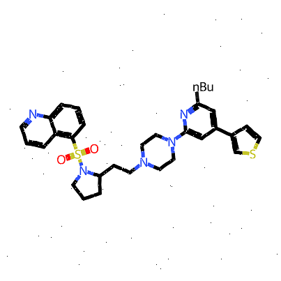 CCCCc1cc(-c2ccsc2)cc(N2CCN(CCC3CCCN3S(=O)(=O)c3cccc4ncccc34)CC2)n1